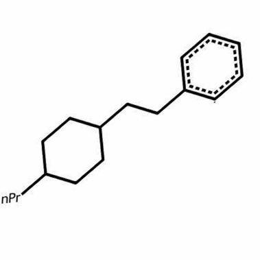 CCCC1CCC(CCc2[c]cccc2)CC1